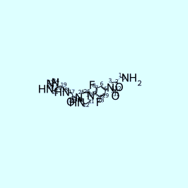 NC[C@H]1CN(c2cc(F)c(N3CCNN(C(=O)CNCc4c[nH]nn4)CC3)c(F)c2)C(=O)O1